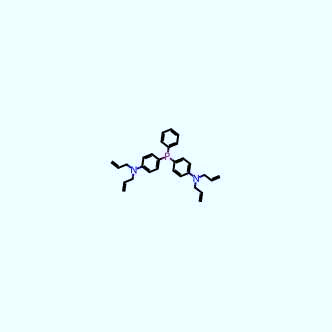 C=CCN(CC=C)c1ccc(P(c2ccccc2)c2ccc(N(CC=C)CC=C)cc2)cc1